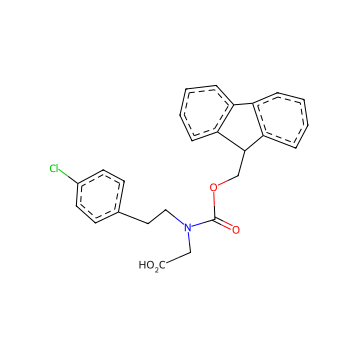 O=C(O)CN(CCc1ccc(Cl)cc1)C(=O)OCC1c2ccccc2-c2ccccc21